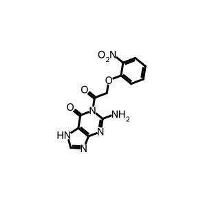 Nc1nc2nc[nH]c2c(=O)n1C(=O)COc1ccccc1[N+](=O)[O-]